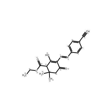 C#Cc1ccc(/N=N/C2=C(O)C(C(=O)OCC)C(C)(C)CC2=O)cc1